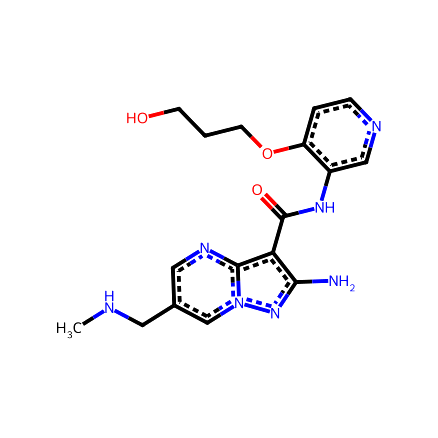 CNCc1cnc2c(C(=O)Nc3cnccc3OCCCO)c(N)nn2c1